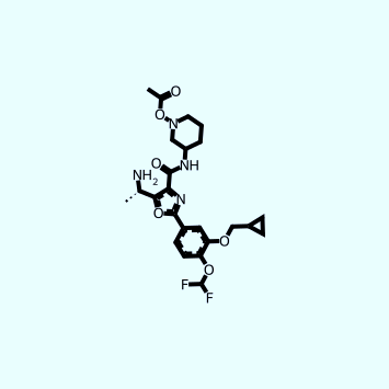 CC(=O)ON1CCCC(NC(=O)c2nc(-c3ccc(OC(F)F)c(OCC4CC4)c3)oc2[C@H](C)N)C1